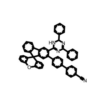 N#Cc1ccc(-c2ccc(-c3cc4c(cc3C3=NC(c5ccccc5)=NC(c5ccccc5)N3)-c3ccccc3C43c4ccccc4Oc4ccccc43)cc2)cc1